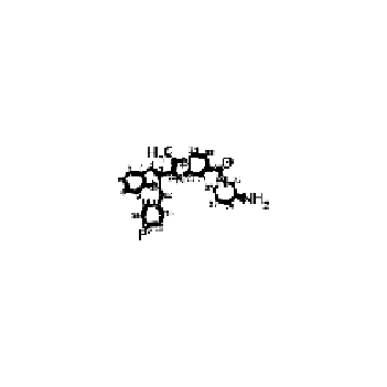 Cc1c(-c2cc3ccccc3n2Cc2ccc(F)cc2)nc2cc(C(=O)N3CCC[C@@H](N)C3)ccn12